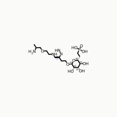 CC(N)COCCN/C=C(/CCO[C@H]1O[C@H](CCP(=O)(O)O)[C@@H](O)[C@H](O)[C@@H]1O)N=N